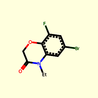 CCN1C(=O)COc2c(F)cc(Br)cc21